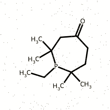 CCP1C(C)(C)CCC(=O)CC1(C)C